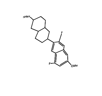 CCCCCCC1CCC2CC(c3cc4c(F)cc(OC)cc4cc3F)CCC2C1